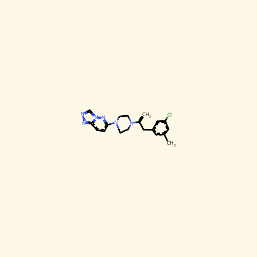 C=C(Cc1cc(C)cc(Cl)c1)N1CCN(c2ccc3nncn3n2)CC1